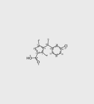 Cc1sc(C(=O)O)c(C)c1C(C)c1cccc(Cl)c1